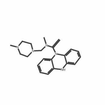 C=C(N(C)CN1CCN(C)CC1)N1c2ccccc2Nc2ccccc21